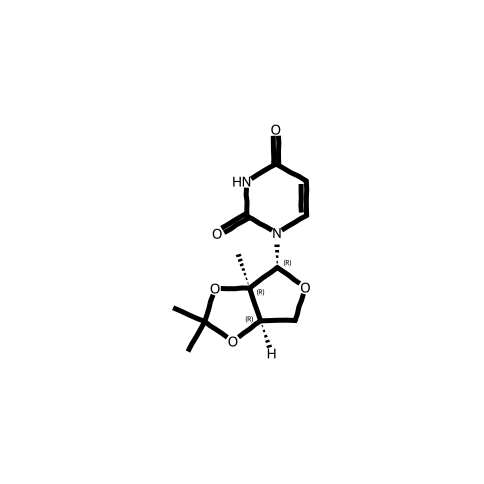 CC1(C)O[C@@H]2CO[C@@H](n3ccc(=O)[nH]c3=O)[C@]2(C)O1